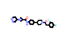 O=C(Nc1ccc(C2CCN(C(=O)Cc3ccc(F)cc3F)CC2)cc1)C1CN(c2ccnnc2)C1